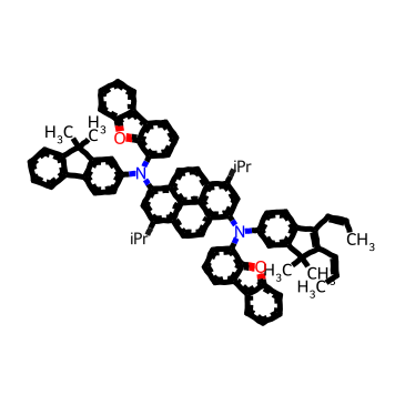 C/C=C\C1=C(/C=C\C)C(C)(C)c2cc(N(c3cc(C(C)C)c4ccc5c(N(c6ccc7c(c6)C(C)(C)c6ccccc6-7)c6cccc7c6oc6ccccc67)cc(C(C)C)c6ccc3c4c65)c3cccc4c3oc3ccccc34)ccc21